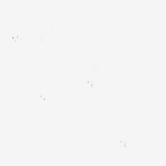 COC(=O)CCCCCN1C2(c3ccccc3S1(=O)=O)c1cc3c4c(c1Oc1c2cc2c5c1CCCN5CCC2)CCCN4CCC3